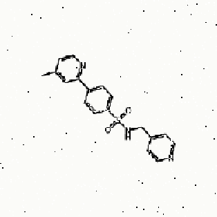 Cc1ccnc(-c2ccc(S(=O)(=O)NCc3ccncc3)cc2)c1